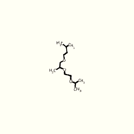 CC(C)CCOCC(C)OCCOC(C)C